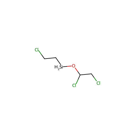 ClCC[SiH2]OC(Cl)CCl